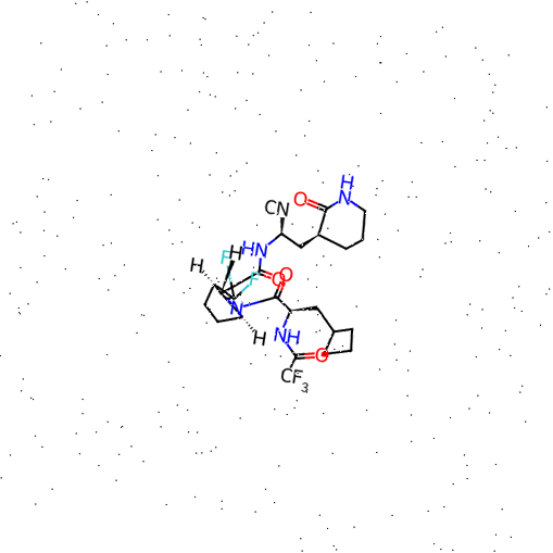 N#C[C@@H](C[C@@H]1CCCNC1=O)NC(=O)[C@H]1[C@@H]2CC[C@@H](CC2(F)F)N1C(=O)[C@@H](CC1CCC1)NC(=O)C(F)(F)F